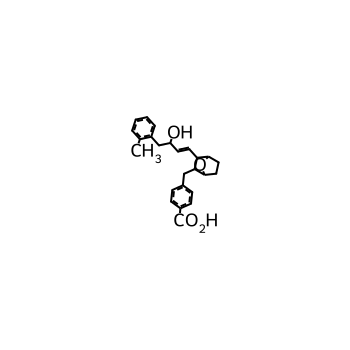 Cc1ccccc1CC(O)/C=C/C1C2CCC(O2)C1Cc1ccc(C(=O)O)cc1